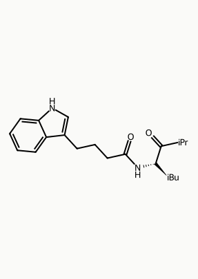 CC[C@H](C)[C@H](NC(=O)CCCc1c[nH]c2ccccc12)C(=O)C(C)C